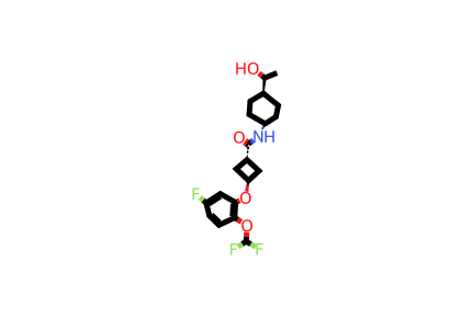 CC(O)[C@H]1CC[C@H](NC(=O)[C@H]2C[C@H](Oc3cc(F)ccc3OC(F)F)C2)CC1